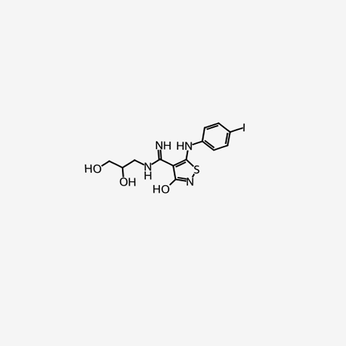 N=C(NCC(O)CO)c1c(O)nsc1Nc1ccc(I)cc1